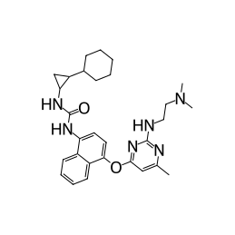 Cc1cc(Oc2ccc(NC(=O)NC3CC3C3CCCCC3)c3ccccc23)nc(NCCN(C)C)n1